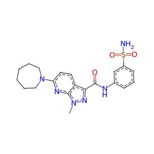 Cn1nc(C(=O)Nc2cccc(S(N)(=O)=O)c2)c2ccc(N3CCCCCC3)nc21